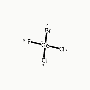 [F][Ge]([Cl])([Cl])[Br]